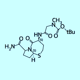 CN(CC(=O)N[C@H]1CCS[C@H]2CCC(C(N)=O)N2C1=O)C(=O)OC(C)(C)C